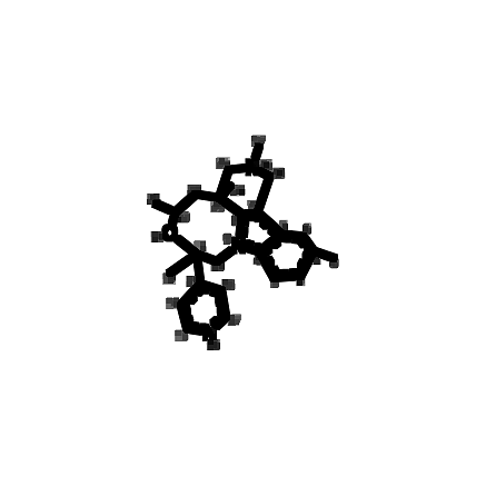 Cc1ccc2c(c1)c1c3n2CC(C)(c2ccncc2)OC(C)CC3(C)CN(C)C1